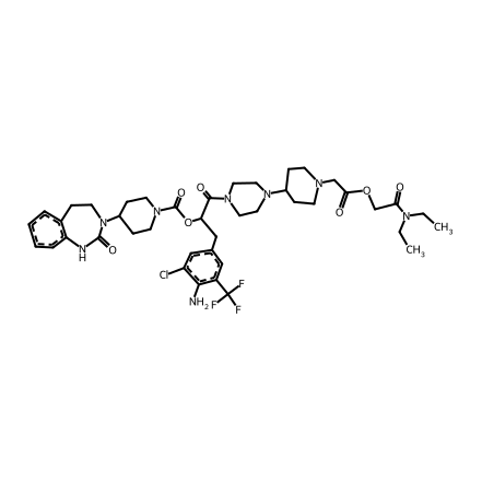 CCN(CC)C(=O)COC(=O)CN1CCC(N2CCN(C(=O)C(Cc3cc(Cl)c(N)c(C(F)(F)F)c3)OC(=O)N3CCC(N4CCc5ccccc5NC4=O)CC3)CC2)CC1